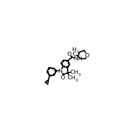 CC1(NC(=O)c2ccc3c(c2)C(C)(C)C(=O)N3c2cccc(C3CC3)c2)CCOCC1